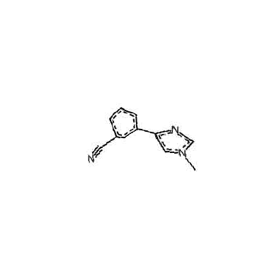 Cn1cnc(-c2cccc(C#N)c2)c1